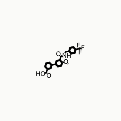 COc1ccc(-c2cccc(C(=O)O)c2)cc1C(=O)NCc1ccc(C(F)(F)F)cc1